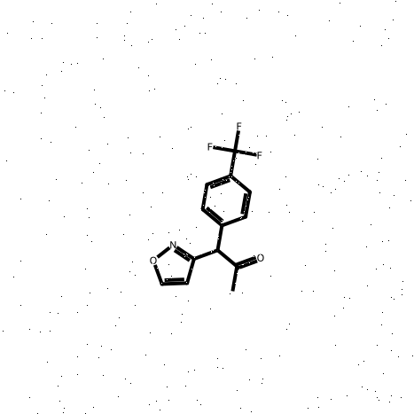 CC(=O)C(c1ccc(C(F)(F)F)cc1)c1ccon1